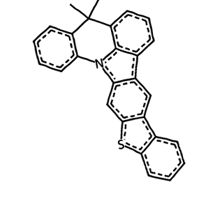 CC1(C)c2ccccc2-n2c3cc4sc5ccccc5c4cc3c3cccc1c32